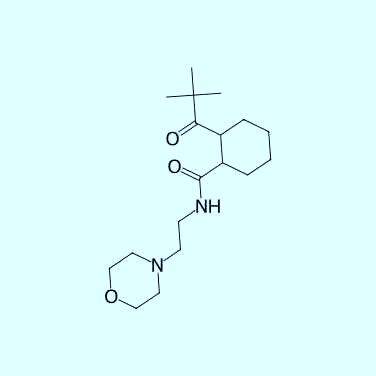 CC(C)(C)C(=O)C1CCCCC1C(=O)NCCN1CCOCC1